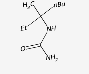 CCCCC(C)(CC)NC(N)=O